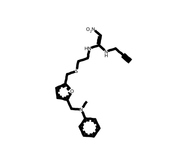 C#CCN/C(=C/[N+](=O)[O-])NCCSCc1ccc(CN(C)c2ccccc2)o1